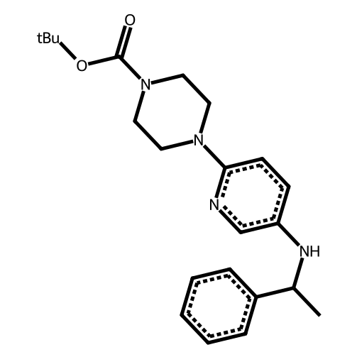 CC(Nc1ccc(N2CCN(C(=O)OC(C)(C)C)CC2)nc1)c1ccccc1